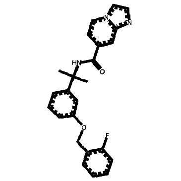 CC(C)(NC(=O)c1ccn2ccnc2c1)c1cccc(OCc2ccccc2F)c1